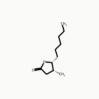 CCCCCC[C@H]1OC(=O)C[C@H]1C